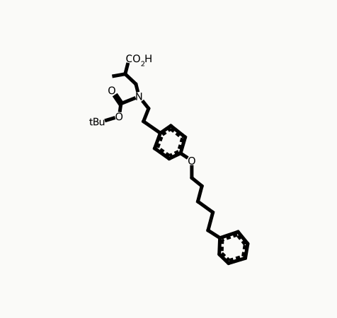 CC(CN(CCc1ccc(OCCCCCc2ccccc2)cc1)C(=O)OC(C)(C)C)C(=O)O